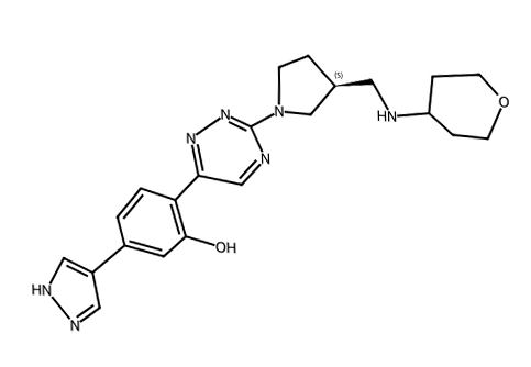 Oc1cc(-c2cn[nH]c2)ccc1-c1cnc(N2CC[C@@H](CNC3CCOCC3)C2)nn1